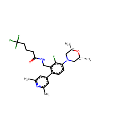 Cc1cc(-c2ccc(N3C[C@@H](C)O[C@@H](C)C3)c(F)c2CNC(=O)CCCC(F)(F)F)cc(C)n1